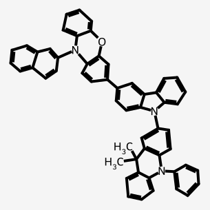 CC1(C)c2ccccc2N(c2ccccc2)c2ccc(-n3c4ccccc4c4cc(-c5ccc6c(c5)Oc5ccccc5N6c5ccc6ccccc6c5)ccc43)cc21